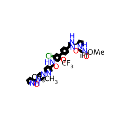 COC(=O)N[C@H](C(=O)N1CCC[C@H]1c1nc(-c2ccc(-c3cc(Cl)c(NC(=O)c4ccc(N5CCN(C(=O)[C@@]6(C)CCCN6)C[C@H]5C)nc4)cc3OC(F)(F)F)cc2)c[nH]1)C(C)C